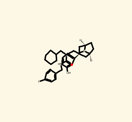 O=C(NCc1ccc(F)cc1)N(CCN1[C@@H]2CC[C@H]1C[C@@H](c1cccc(O)c1)C2)CC1CCCCC1